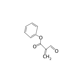 C=C(C=O)C(=O)Oc1ccccc1